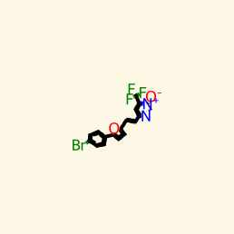 [O-][n+]1cnc(C=Cc2ccc(-c3ccc(Br)cc3)o2)cc1C(F)(F)F